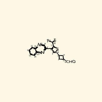 O=CC1CC(n2cc(-c3cnc4ccccc4n3)c(C(F)F)n2)C1